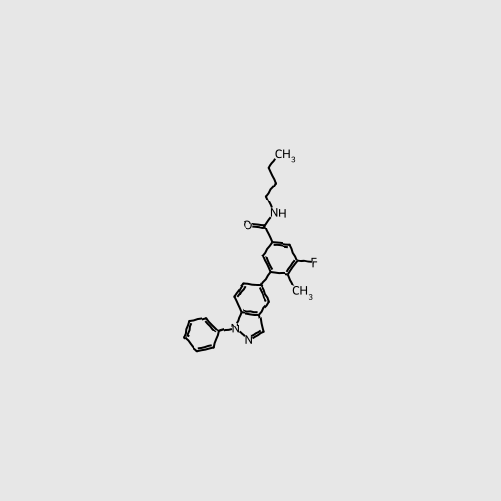 CCCCNC(=O)c1cc(F)c(C)c(-c2ccc3c(cnn3-c3ccccc3)c2)c1